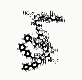 C[C@@H](O)[C@H](NC(=O)CNC(=O)[C@H](CCC(=O)O)NC(=O)C(C)(C)NC(=O)[C@@H](N)Cc1c[nH]cn1)C(=O)N[C@@H](Cc1ccccc1)C(=O)N[C@](C(=O)N[C@@H](CO)C(=O)N[C@@H](CC(=O)O)C(=O)N[C@@H](Cc1ccc(-c2ccccc2)cc1)C(=O)N[C@@H](Cc1ccc(-c2ccccc2)cc1)C(=O)O)([C@@H](C)O)[N+](=O)[O-]